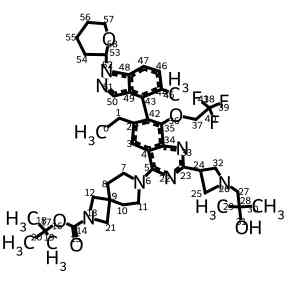 CCc1cc2c(N3CCC4(CC3)CN(C(=O)OC(C)(C)C)C4)nc(C3CN(CC(C)(C)O)C3)nc2c(OCC(F)(F)F)c1-c1c(C)ccc2c1cnn2C1CCCCO1